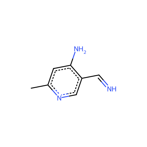 Cc1cc(N)c(C=N)cn1